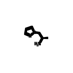 C[C@@H](N)Cn1cccn1